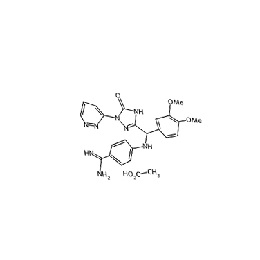 CC(=O)O.COc1ccc(C(Nc2ccc(C(=N)N)cc2)c2nn(-c3cccnn3)c(=O)[nH]2)cc1OC